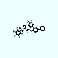 O=C([C@H]1CCN1S(=O)(=O)c1c(F)c(F)c(F)c(F)c1F)N(Cc1ccc(C2CCCCC2)cn1)c1cc[nH]c(=O)c1